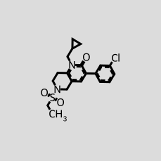 CCS(=O)(=O)N1CCc2c(cc(-c3cccc(Cl)c3)c(=O)n2CC2CC2)C1